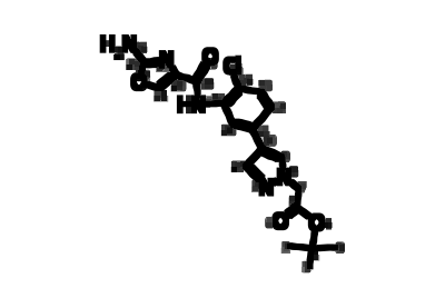 CC(C)(C)OC(=O)Cn1cc(-c2ccc(Cl)c(NC(=O)c3coc(N)n3)c2)cn1